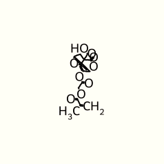 C=C(C)C(=O)OCC(=O)Oc1c2oc3c1OC(=O)C2(C(=O)O)C3